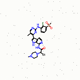 CCC(C(=O)Nc1nccc2c(-c3nc(Nc4cccc(S(C)(=O)=O)c4F)ncc3C)c[nH]c12)N1CCN(C)CC1